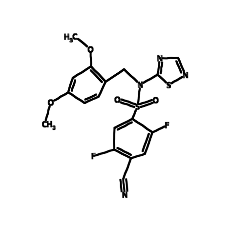 COc1ccc(CN(c2ncns2)S(=O)(=O)c2cc(F)c(C#N)cc2F)c(OC)c1